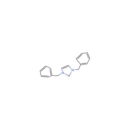 [C]1N(Cc2ccccc2)C=CN1Cc1ccccc1